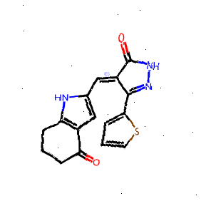 O=C1NN=C(c2cccs2)/C1=C\c1cc2c([nH]1)CCCC2=O